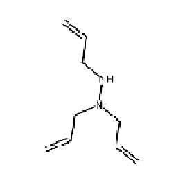 C=CCN[N+](CC=C)CC=C